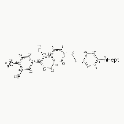 CCCCCCCc1ccc(CCc2ccc3c(F)c(-c4ccc(C(F)(F)F)c(F)c4)ccc3c2)cc1